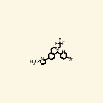 Cn1ccc(-c2ccc3c(c2)CCN(CC(F)(F)F)C3c2ccc(Br)cn2)n1